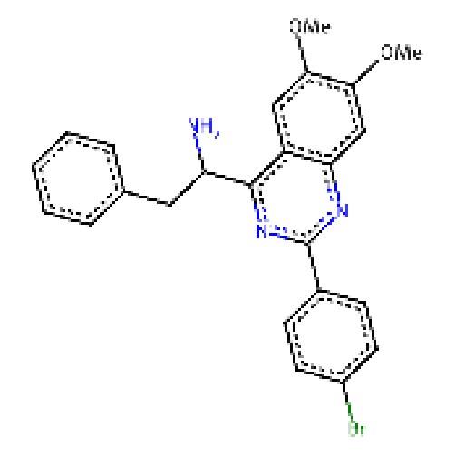 COc1cc2nc(-c3ccc(Br)cc3)nc(C(N)Cc3ccccc3)c2cc1OC